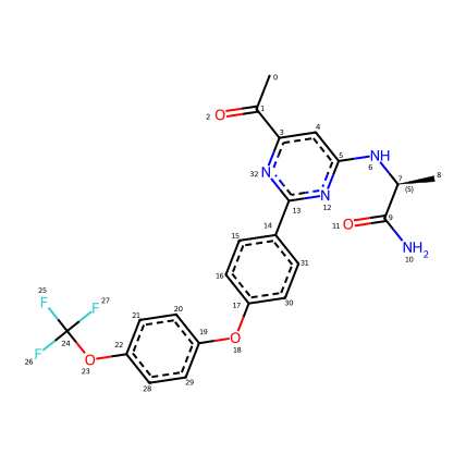 CC(=O)c1cc(N[C@@H](C)C(N)=O)nc(-c2ccc(Oc3ccc(OC(F)(F)F)cc3)cc2)n1